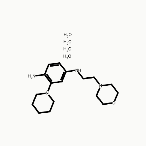 Nc1ccc(NCCN2CCOCC2)cc1N1CCCCC1.O.O.O.O